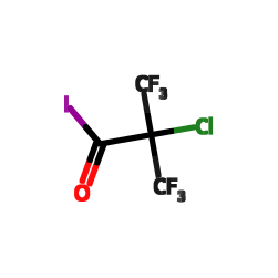 O=C(I)C(Cl)(C(F)(F)F)C(F)(F)F